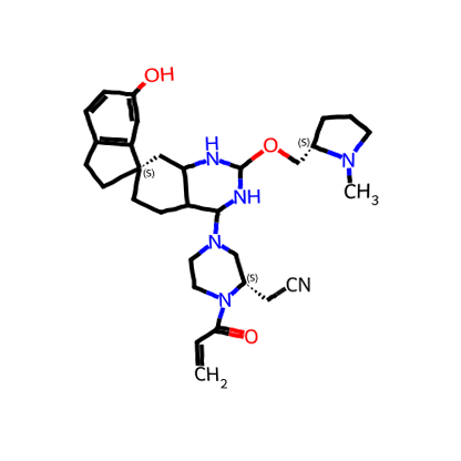 C=CC(=O)N1CCN(C2NC(OC[C@@H]3CCCN3C)NC3C[C@@]4(CCc5ccc(O)cc54)CCC32)C[C@@H]1CC#N